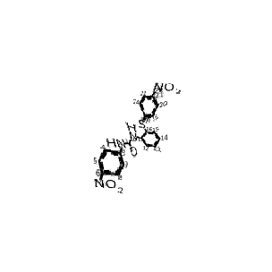 O=C(Nc1ccc([N+](=O)[O-])cc1)Nc1ccccc1Sc1ccc([N+](=O)[O-])cc1